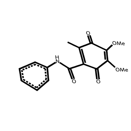 COC1=C(OC)C(=O)C(C(=O)Nc2ccccc2)=C(C)C1=O